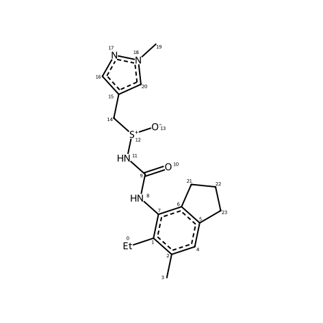 CCc1c(C)cc2c(c1NC(=O)N[S+]([O-])Cc1cnn(C)c1)CCC2